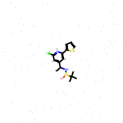 CC(N[S+]([O-])C(C)(C)C)c1cc(Cl)nc(-c2cccs2)c1